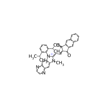 CC(C)c1cccc(C(C)C)c1N1/C(=C/C=C2C(=O)c3cc4ccccc4cc3C2=O)N(C)c2cc3nccnc3cc21